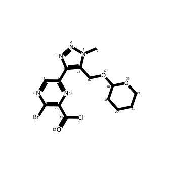 Cn1nnc(-c2cnc(Br)c(C(=O)Cl)n2)c1COC1CCCCO1